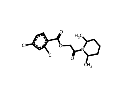 CC1CCCC(C)N1C(=O)COC(=O)c1ccc(Cl)cc1Cl